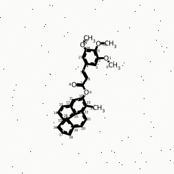 COc1cc(C=CC(=O)Oc2cc3ccc4cccc5ccc(c2C)c3c45)cc(OC)c1OC